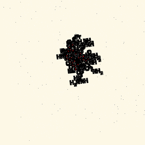 CC[C@H](C)[C@H](NC(=O)[C@H](CCCNC(=N)N)NC(=O)[C@H](CCCNC(=N)N)NC(=O)[C@H](CCCNC(=N)N)NC(=O)[C@H](CC(C)C)NC(=O)[C@@H](NC(=O)[C@@H](NC(=O)[C@H](CC(C)C)NC(=O)[C@@H](N)CC(C)C)[C@@H](C)CC)[C@@H](C)CC)C(=O)N[C@@H](CCCNC(=N)N)C(=O)N[C@@H](CCCCN)C(=O)N[C@@H](CCC(N)=O)C(=O)N[C@@H](C)C(=O)N[C@@H](Cc1c[nH]cn1)C(=O)N[C@@H](C)C(=O)O